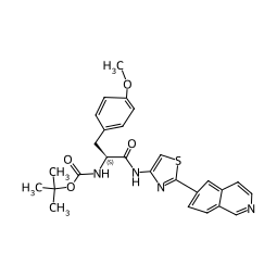 COc1ccc(C[C@H](NC(=O)OC(C)(C)C)C(=O)Nc2csc(-c3ccc4cnccc4c3)n2)cc1